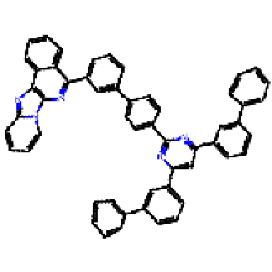 c1ccc(-c2cccc(-c3cc(-c4cccc(-c5ccccc5)c4)nc(-c4ccc(-c5cccc(-c6nc7c(nc8ccccn87)c7ccccc67)c5)cc4)n3)c2)cc1